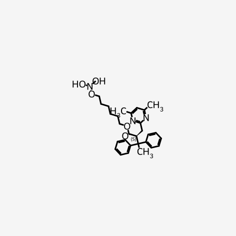 Cc1cc(C)nc(C[C@H](C(=O)OCCCCCCON(O)O)C(C)(c2ccccc2)c2ccccc2)n1